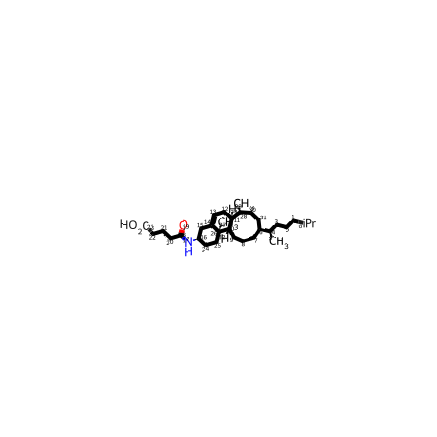 CC(C)CCC[C@@H](C)C1CCC[C@H]2[C@@H](CC=C3C[C@@H](NC(=O)CCCC(=O)O)CC[C@@]32C)[C@@H](C)CC1